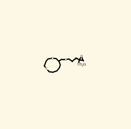 CCOC(=O)C1(CCCCCC2CCCCCCCCCCC2)CO1